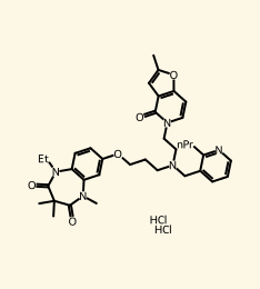 CCCc1ncccc1CN(CCCOc1ccc2c(c1)N(C)C(=O)C(C)(C)C(=O)N2CC)CCn1ccc2oc(C)cc2c1=O.Cl.Cl